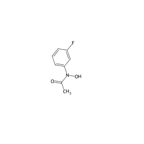 CC(=O)N(O)c1cccc(F)c1